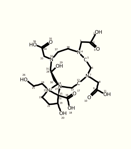 O=C(O)CN1CCN(CC(=O)O)CCN([C@@]2(C(=O)O)C(O)CC[N+]2(CCO)CCO)CCN(CC(=O)O)CC1